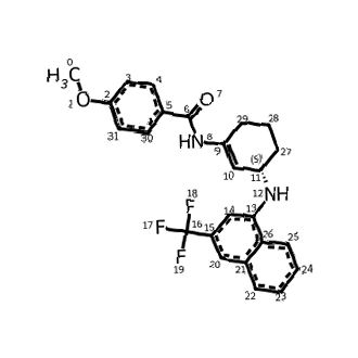 COc1ccc(C(=O)NC2=C[C@@H](Nc3cc(C(F)(F)F)cc4ccccc34)CCC2)cc1